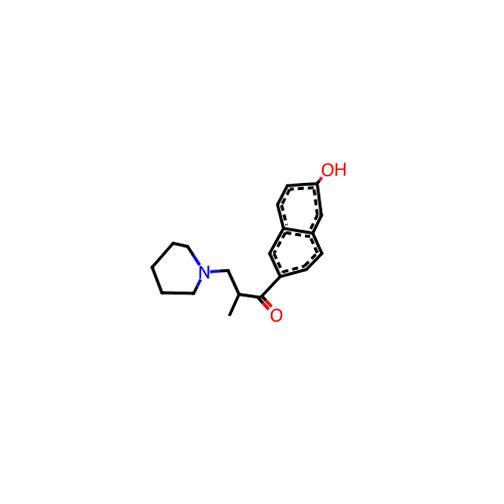 CC(CN1CCCCC1)C(=O)c1ccc2cc(O)ccc2c1